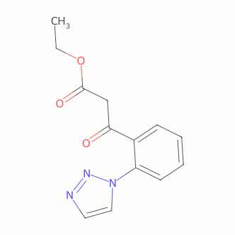 CCOC(=O)CC(=O)c1ccccc1-n1ccnn1